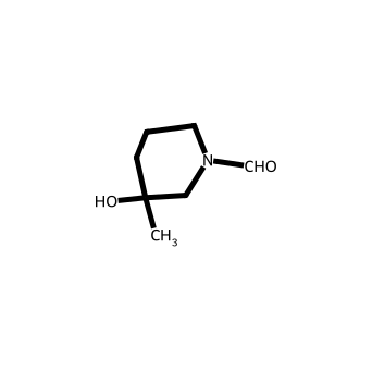 CC1(O)CCCN(C=O)C1